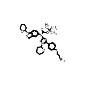 CC(C)(C)OC(=O)N(c1ccc2c(cnn2C2CCCCO2)c1)c1nc(-c2ccc(OCCN)cc2)n(C2CCCCO2)n1